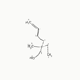 C=CCCC(C)(CC)CO